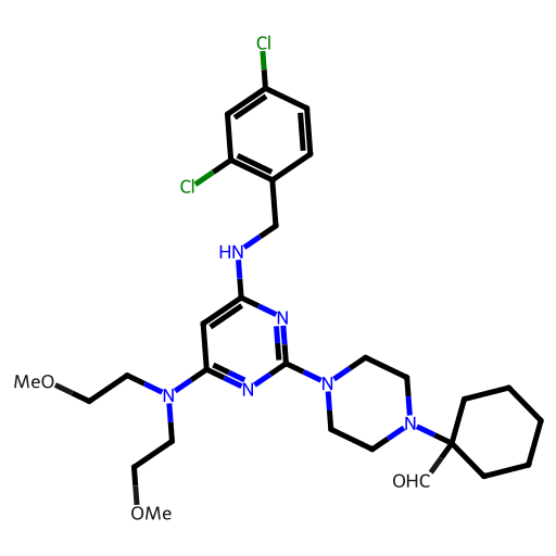 COCCN(CCOC)c1cc(NCc2ccc(Cl)cc2Cl)nc(N2CCN(C3(C=O)CCCCC3)CC2)n1